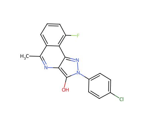 Cc1nc2c(O)n(-c3ccc(Cl)cc3)nc2c2c(F)cccc12